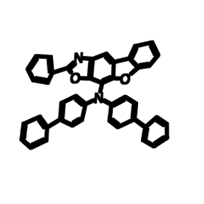 c1ccc(-c2ccc(N(c3ccc(-c4ccccc4)cc3)c3c4oc(-c5ccccc5)nc4cc4c3oc3ccccc34)cc2)cc1